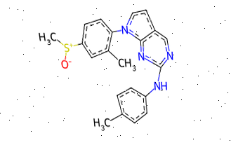 Cc1ccc(Nc2ncc3ccn(-c4ccc([S+](C)[O-])cc4C)c3n2)cc1